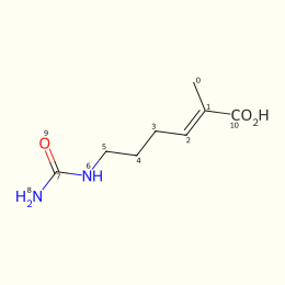 CC(=CCCCNC(N)=O)C(=O)O